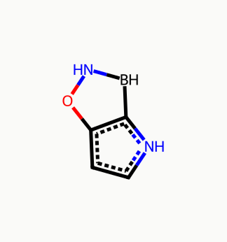 B1NOc2cc[nH]c21